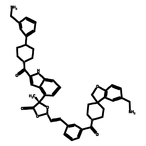 C[C@@]1(c2cccc3[nH]c(C(=O)N4CCC(c5cccc(CN)c5)CC4)cc23)OB(/C=C/c2cccc(C(=O)N3CCC4(CC3)COc3ccc(CN)cc34)c2)OC1=O